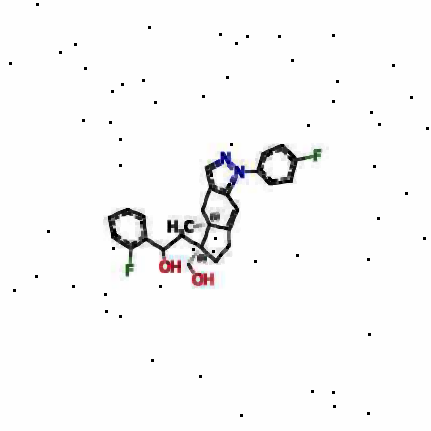 C[C@]12Cc3cnn(-c4ccc(F)cc4)c3C=C1CC[C@@]2(CO)CC(O)c1ccccc1F